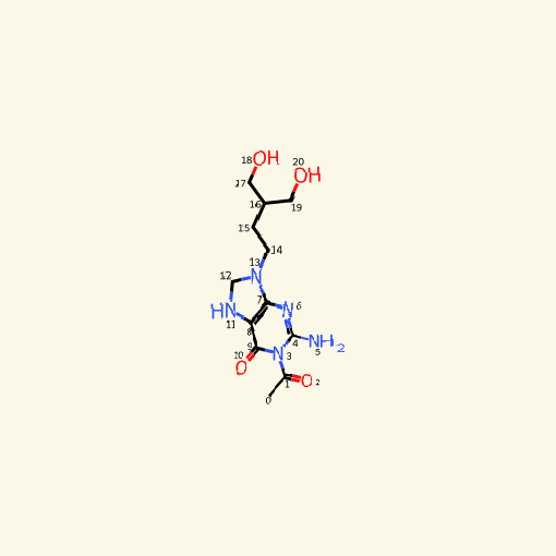 CC(=O)n1c(N)nc2c(c1=O)NCN2CCC(CO)CO